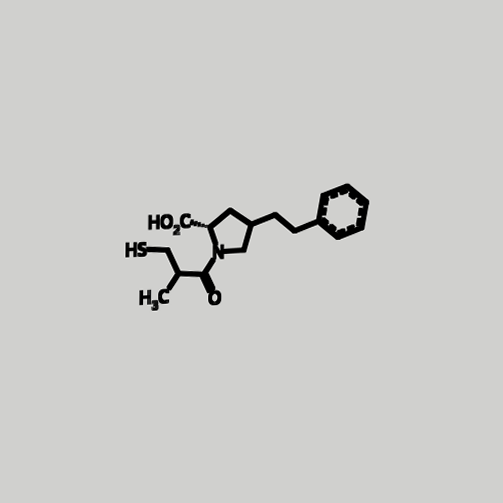 CC(CS)C(=O)N1CC(CCc2ccccc2)C[C@H]1C(=O)O